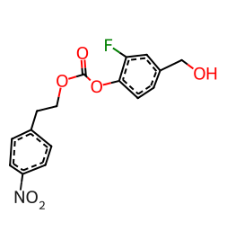 O=C(OCCc1ccc([N+](=O)[O-])cc1)Oc1ccc(CO)cc1F